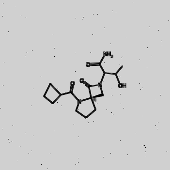 CC(O)C(C(N)=O)N1C[C@]2(CCCN2C(=O)C2CCC2)C1=O